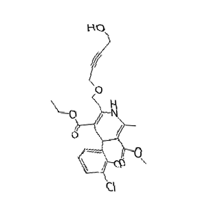 CCOC(=O)C1=C(COCC#CCO)NC(C)=C(C(=O)OC)C1c1cccc(Cl)c1Cl